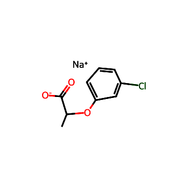 CC(Oc1cccc(Cl)c1)C(=O)[O-].[Na+]